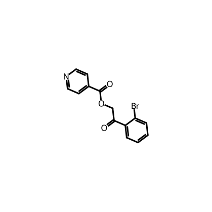 O=C(OCC(=O)c1ccccc1Br)c1ccncc1